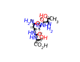 CC(O)[C@@H](N)C(=O)NNC[C@@H](CC(N)=O)NC(=O)N[C@H](CO)C(=O)O